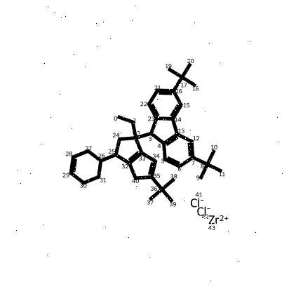 CCC1(C2c3ccc(C(C)(C)C)cc3-c3cc(C(C)(C)C)ccc32)CC(C2CC=CCC2)C2=C1C=C(C(C)(C)C)C2.[Cl-].[Cl-].[Zr+2]